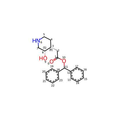 O=C(C[C@H]1CCNC[C@H]1O)OC(c1ccccc1)c1ccccc1